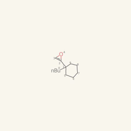 CCCCC1(C2=CO2)CCCCC1